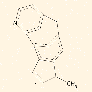 CC1C=Cc2c3cc(cc21)Cc1ccnc-3c1